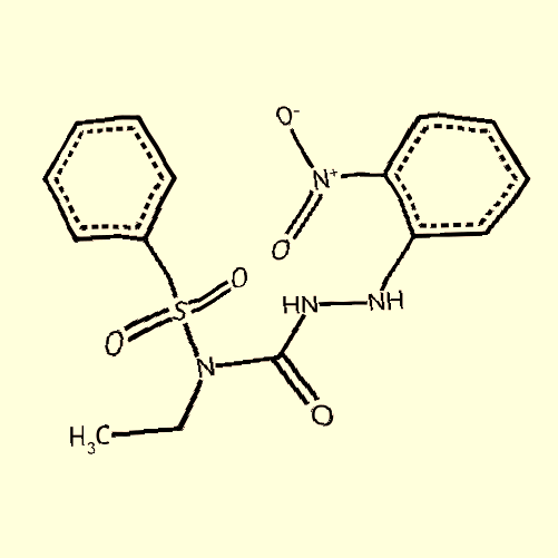 CCN(C(=O)NNc1ccccc1[N+](=O)[O-])S(=O)(=O)c1ccccc1